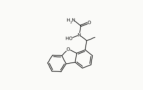 CC(c1cccc2c1oc1ccccc12)N(O)C(N)=O